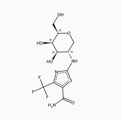 NC(=O)c1sc(N[C@H]2CO[C@H](CO)[C@H](O)[C@@H]2O)nc1C(F)(F)F